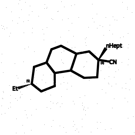 CCCCCCC[C@@]1(C#N)CCC2C(CCC3C[C@@H](CC)CCC32)C1